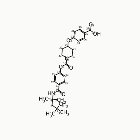 CC(C)(C)CC(C)(C)NC(=O)c1ccc(OC(=O)N2CCC(Oc3ccc(C(=O)O)cc3)CC2)cc1